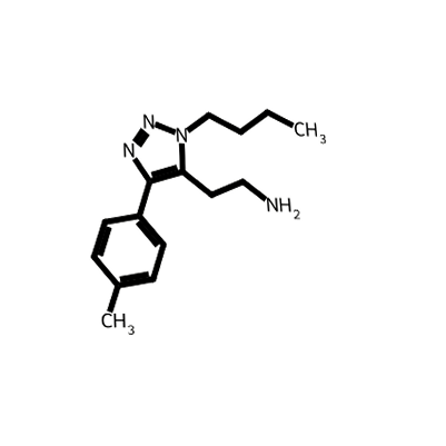 CCCCn1nnc(-c2ccc(C)cc2)c1CCN